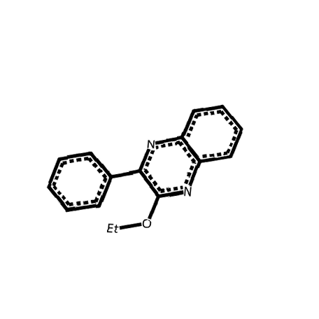 CCOc1nc2ccccc2nc1-c1ccccc1